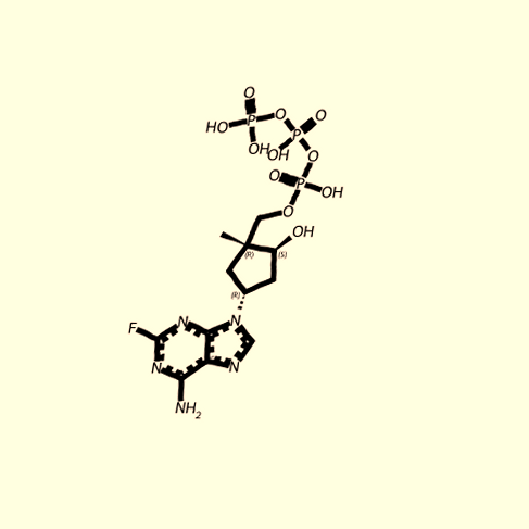 C[C@]1(COP(=O)(O)OP(=O)(O)OP(=O)(O)O)C[C@@H](n2cnc3c(N)nc(F)nc32)C[C@@H]1O